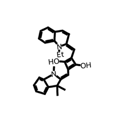 CCN1C(=CC2=C(O)C(C=C3N(C)c4ccccc4C3(C)C)=C2O)C=Cc2ccccc21